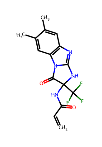 C=CC(=O)NC1(C(F)(F)F)Nc2nc3cc(C)c(C)cc3n2C1=O